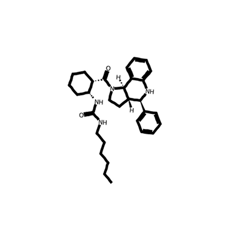 CCCCCCNC(=O)N[C@@H]1CCCC[C@@H]1C(=O)N1CC[C@H]2[C@H](c3ccccc3)Nc3ccccc3[C@@H]21